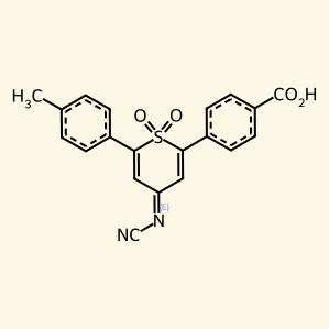 Cc1ccc(C2=C/C(=N\C#N)C=C(c3ccc(C(=O)O)cc3)S2(=O)=O)cc1